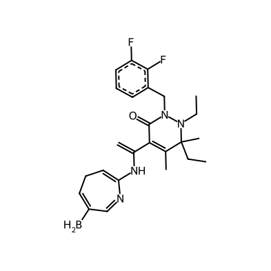 BC1=CCC=C(NC(=C)C2=C(C)C(C)(CC)N(CC)N(Cc3cccc(F)c3F)C2=O)N=C1